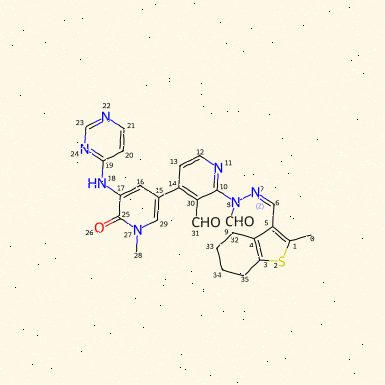 Cc1sc2c(c1/C=N\N(C=O)c1nccc(-c3cc(Nc4ccncn4)c(=O)n(C)c3)c1C=O)CCCC2